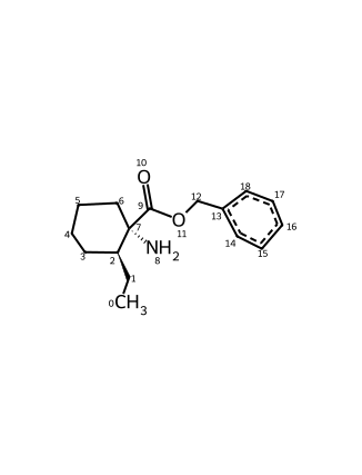 CC[C@H]1CCCC[C@@]1(N)C(=O)OCc1ccccc1